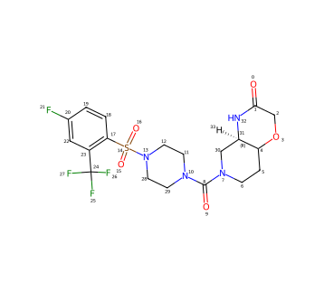 O=C1COC2CCN(C(=O)N3CCN(S(=O)(=O)c4ccc(F)cc4C(F)(F)F)CC3)C[C@H]2N1